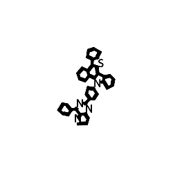 c1ccc(-c2nc(-c3ccc(-n4c5ccccc5c5c6sc7ccccc7c6c6ccccc6c54)cc3)nc3cccnc23)cc1